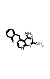 Nc1nc(N)c2c(CC3=CC=CCC3=S)ccnc2n1